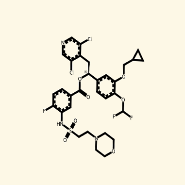 O=C(O[C@@H](Cc1c(Cl)cncc1Cl)c1ccc(OC(F)F)c(OCC2CC2)c1)c1ccc(F)c(NS(=O)(=O)CCN2CCOCC2)c1